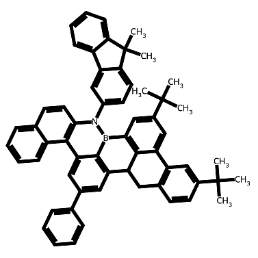 CC(C)(C)c1ccc2c(c1)-c1cc(C(C)(C)C)cc3c1C(C2)c1cc(-c2ccccc2)cc2c1B3N(c1ccc3c(c1)-c1ccccc1C3(C)C)c1ccc3ccccc3c1-2